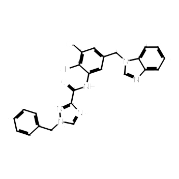 O=C(Nc1cc(Cn2cnc3ccccc32)cc(Cl)c1F)c1ncn(Cc2ccccc2)n1